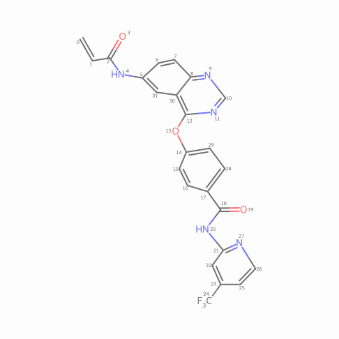 C=CC(=O)Nc1ccc2ncnc(Oc3ccc(C(=O)Nc4cc(C(F)(F)F)ccn4)cc3)c2c1